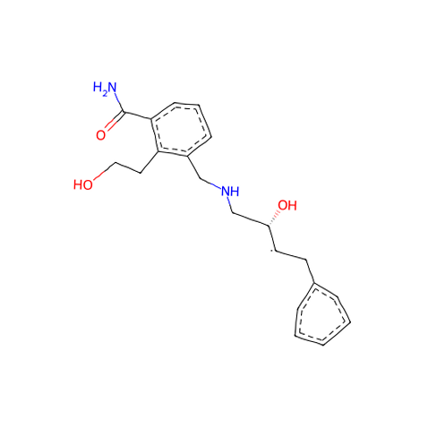 NC(=O)c1cccc(CNC[C@H](O)[CH]Cc2ccccc2)c1CCO